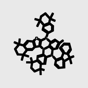 Cc1cc2c3c(c1)N(c1ccc4c(c1)C(C)(C)CCC4(C)C)c1oc4cc5c(cc4c1B3c1cc3c(cc1N2c1cccc2c1-c1ccccc1C2(C)C)C(C)(C)CCC3(C)C)C(C)(C)CCC5(C)C